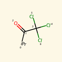 CC(C)C(=O)C(Cl)(Cl)Cl